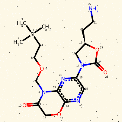 C[Si](C)(C)CCOCN1C(=O)COc2ncc(N3C[C@@H](CCN)OC3=O)nc21